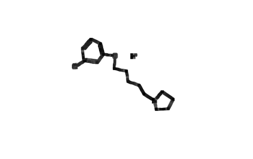 Clc1cccc(OCCCCCN2CCCC2)c1.[H+]